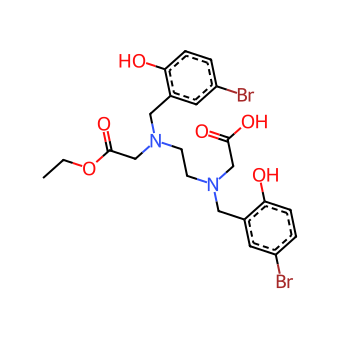 CCOC(=O)CN(CCN(CC(=O)O)Cc1cc(Br)ccc1O)Cc1cc(Br)ccc1O